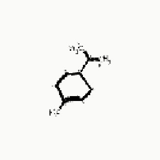 C[C](C)[C@H]1CC=C(C)CC1